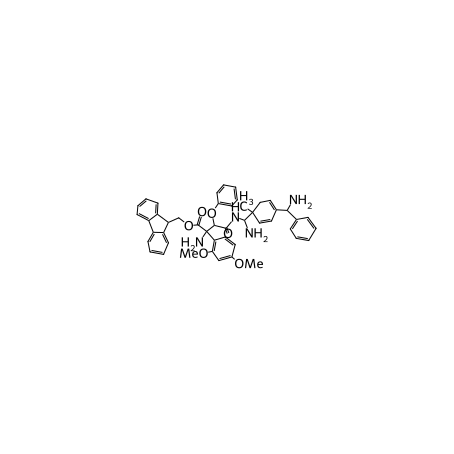 COc1ccc(C(N)(C(=O)OCC2c3ccccc3-c3ccccc32)C(Oc2ccccc2)C(=O)NC(N)C2(C)C=CC(C(N)c3ccccc3)=CC2)c(OC)c1